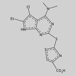 CCc1[nH]c2nc(Sc3nc(C(=O)O)cs3)nc(N(C)C)c2c1Cl